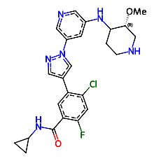 CO[C@@H]1CNCCC1Nc1cncc(-n2cc(-c3cc(C(=O)NC4CC4)c(F)cc3Cl)cn2)c1